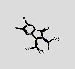 N#CC(C#N)=C1/C(=C(/N)I)C(=O)c2cc(F)c(F)cc21